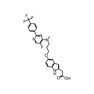 CN(CCCOc1ccc2[nH]c(CC(=O)O)cc2c1)c1nc(-c2ccc(C(F)(F)F)cc2)ncc1F